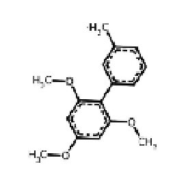 [CH2]c1cccc(-c2c(OC)cc(OC)cc2OC)c1